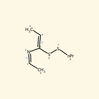 C/C=N\C(=C/C)SSCCC